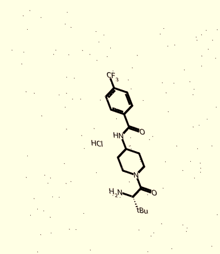 CC(C)(C)[C@H](N)C(=O)N1CCC(NC(=O)c2ccc(C(F)(F)F)cc2)CC1.Cl